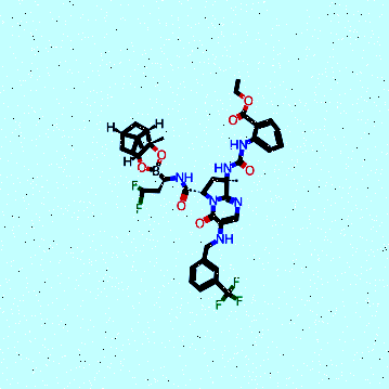 CCOC(=O)c1ccccc1NC(=O)N[C@]1(C)C[C@@H](C(=O)N[C@@H](CC(F)F)B2O[C@@H]3C[C@@H]4C[C@@H](C4(C)C)[C@]3(C)O2)n2c1ncc(NCc1cccc(C(F)(F)F)c1)c2=O